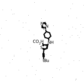 CC(C)(C)C#Cc1cc(NC2CCC(n3cncn3)CC2)c(C(=O)O)s1